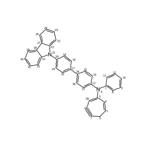 C1#CCC=CC(N(c2ccccc2)c2ccc(-c3ccc(-n4c5ccccc5c5ccccc54)cc3)cc2)=C1